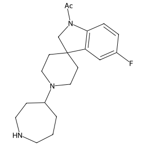 CC(=O)N1CC2(CCN(C3CCCNCC3)CC2)c2cc(F)ccc21